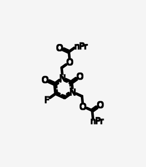 CCCC(=O)OCn1cc(F)c(=O)n(COC(=O)CCC)c1=O